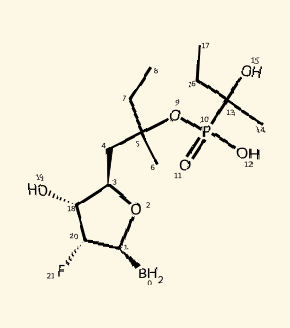 B[C@@H]1O[C@H](CC(C)(CC)OP(=O)(O)C(C)(O)CC)[C@@H](O)[C@H]1F